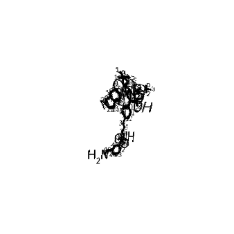 CC(C)(C)OC(=O)N(C(=O)OC(C)(C)C)N(c1ccc2cnccc2c1)C(C(=O)O)c1ccc(CCCNS(=O)(=O)c2cccc(CN)c2)cc1